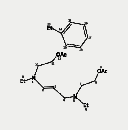 CCN(C=CCN(CC)CCOC(C)=O)CCOC(C)=O.CCc1ccccc1